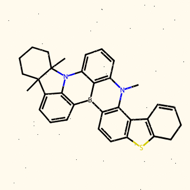 CN1c2cccc3c2B(c2cccc4c2N3C2(C)CCCCC42C)c2ccc3sc4c(c3c21)C=CCC4